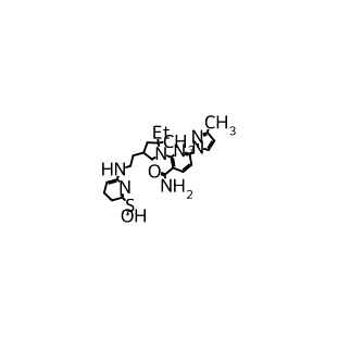 CCC1(C)CC(CCNC2=CCCC(SO)=N2)CN1c1nc(-n2ccc(C)n2)ccc1C(N)=O